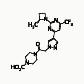 C[C@H]1CCN1c1nc(-c2cnn(CC(=O)N3CCN(C(=O)O)CC3)c2)cc(C(F)(F)F)n1